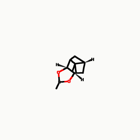 CB1O[C@@H]2C[C@@H]3CC([C@@H]2O1)C3(C)C